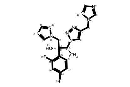 C[C@@H](n1cc(Cn2cncn2)nn1)[C@](O)(Cn1cncn1)c1ccc(F)cc1F